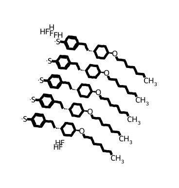 CCCCCCCO[C@H]1CC[C@H](CCc2ccc([S])cc2)CC1.CCCCCCCO[C@H]1CC[C@H](CCc2ccc([S])cc2)CC1.CCCCCCCO[C@H]1CC[C@H](CCc2ccc([S])cc2)CC1.CCCCCCCO[C@H]1CC[C@H](CCc2ccc([S])cc2)CC1.CCCCCCCO[C@H]1CC[C@H](CCc2ccc([S])cc2)CC1.F.F.F.F.F